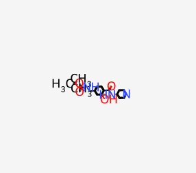 CC(C)(C)OC(=O)NCc1ccc(C(=O)Nc2ccncc2)c(O)c1